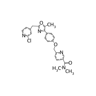 Cc1oc(Cc2ccnc(Cl)c2)nc1-c1ccc(OCc2ccc(C(=O)N(C)C)cn2)cc1